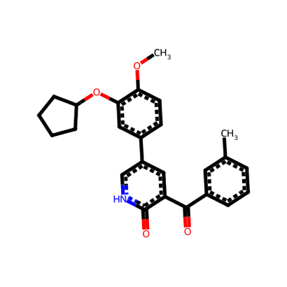 COc1ccc(-c2c[nH]c(=O)c(C(=O)c3cccc(C)c3)c2)cc1OC1CCCC1